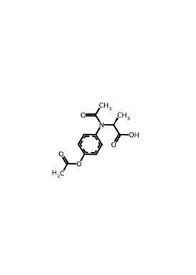 CC(=O)Oc1ccc(N(C(C)=O)[C@@H](C)C(=O)O)cc1